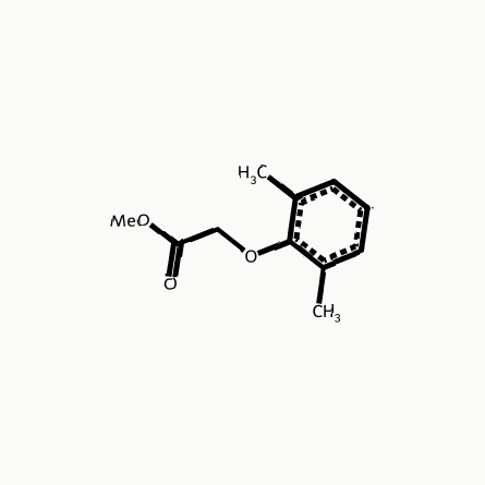 COC(=O)COc1c(C)c[c]cc1C